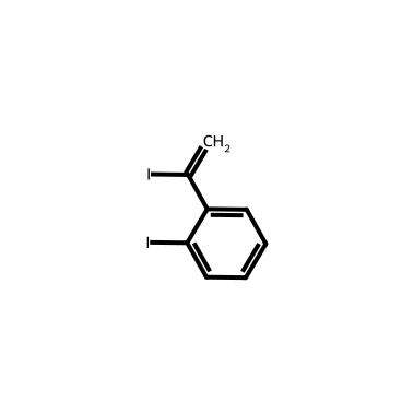 C=C(I)c1ccccc1I